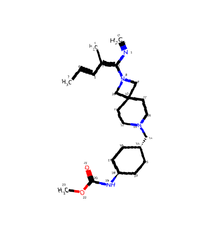 C=N/C(=C(C)/C=C/C)N1CC2(CCN(C[C@H]3CC[C@H](NC(=O)OC)CC3)CC2)C1